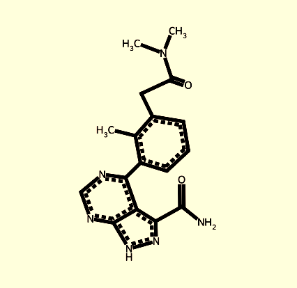 Cc1c(CC(=O)N(C)C)cccc1-c1ncnc2[nH]nc(C(N)=O)c12